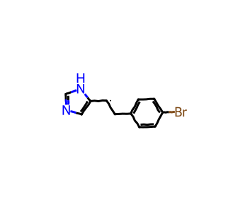 Brc1ccc(C[CH]c2cnc[nH]2)cc1